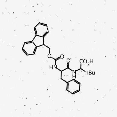 CCCCC(NC(=O)C(Cc1ccccc1)NC(=O)OCC1c2ccccc2-c2ccccc21)C(=O)O